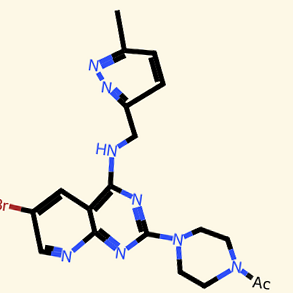 CC(=O)N1CCN(c2nc(NCc3ccc(C)nn3)c3cc(Br)cnc3n2)CC1